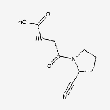 N#CC1CCCN1C(=O)CNC(=O)O